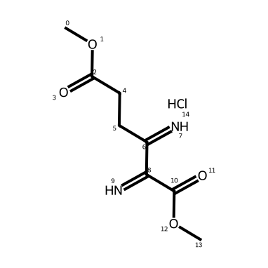 COC(=O)CCC(=N)C(=N)C(=O)OC.Cl